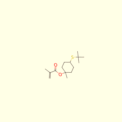 C=C(C)C(=O)OC1(C)CCC(SC(C)(C)C)CC1